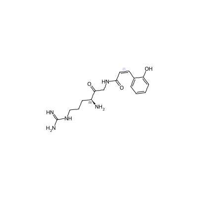 N=C(N)NCCC[C@H](N)C(=O)CNC(=O)/C=C\c1ccccc1O